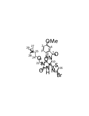 COc1ccc2c(c1)C(=O)N(C[C@@]1(c3nc(Br)cs3)NC(=O)N(COCC[Si](C)(C)C)C1=O)C2